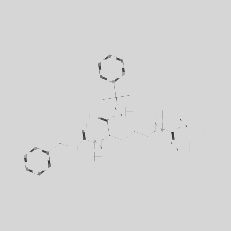 CC(C)(NC(=O)C(CCCNC(=N)N)NC(=O)OCc1ccccc1)c1ccccc1